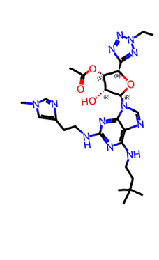 CCn1nnc([C@H]2O[C@@H](n3cnc4c(NCCC(C)(C)C)nc(NCCc5cn(C)cn5)nc43)[C@H](O)[C@@H]2OC(C)=O)n1